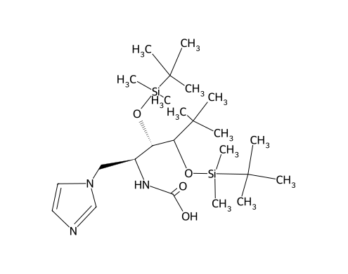 CC(C)(C)C(O[Si](C)(C)C(C)(C)C)[C@@H](O[Si](C)(C)C(C)(C)C)[C@H](Cn1ccnc1)NC(=O)O